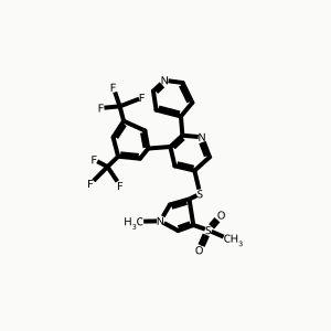 Cn1cc(Sc2cnc(-c3ccncc3)c(-c3cc(C(F)(F)F)cc(C(F)(F)F)c3)c2)c(S(C)(=O)=O)c1